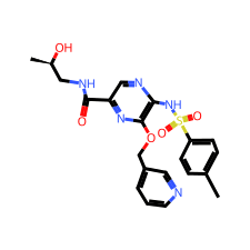 Cc1ccc(S(=O)(=O)Nc2ncc(C(=O)NC[C@@H](C)O)nc2OCc2cccnc2)cc1